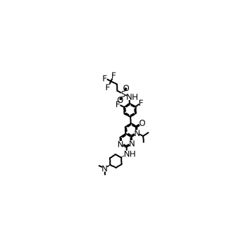 CC(C)n1c(=O)c(-c2cc(F)c(NS(=O)(=O)CCC(F)(F)F)c(F)c2)cc2cnc(N[C@H]3CC[C@H](N(C)C)CC3)nc21